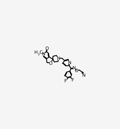 Cn1cc2c(cc1=O)C1(CCN(Cc3ccc(C(=NOCC#N)c4ccc(F)c(F)c4)nc3)CC1)OC2